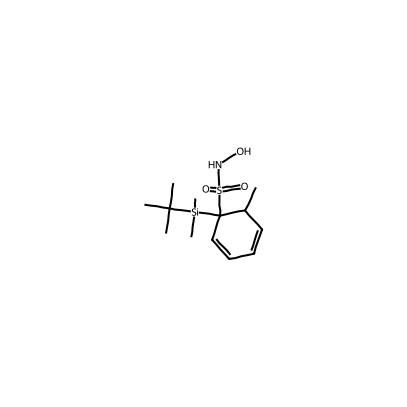 CC1C=CC=CC1([Si](C)(C)C(C)(C)C)S(=O)(=O)NO